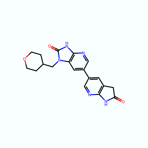 O=C1Cc2cc(-c3cnc4[nH]c(=O)n(CC5CCOCC5)c4c3)cnc2N1